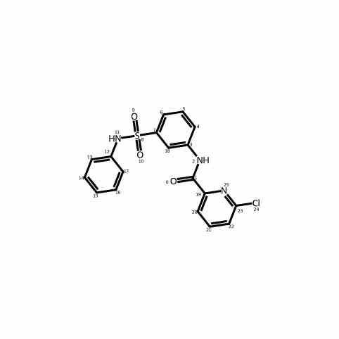 O=C(Nc1cccc(S(=O)(=O)Nc2ccccc2)c1)c1cccc(Cl)n1